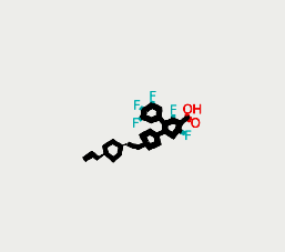 C=CC[C@H]1CC[C@H](CCc2ccc(-c3cc(F)c(C(=O)O)c(F)c3-c3cc(F)c(F)c(F)c3)cc2)CC1